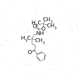 CC(C)(CCC(=O)c1ccccc1)CNC(=O)OC(C)(C)C